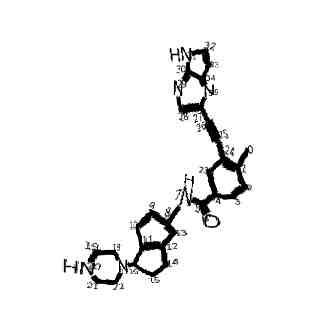 Cc1ccc(C(=O)Nc2ccc3c(c2)CCC3N2CCNCC2)cc1C#Cc1cnc2[nH]ccc2n1